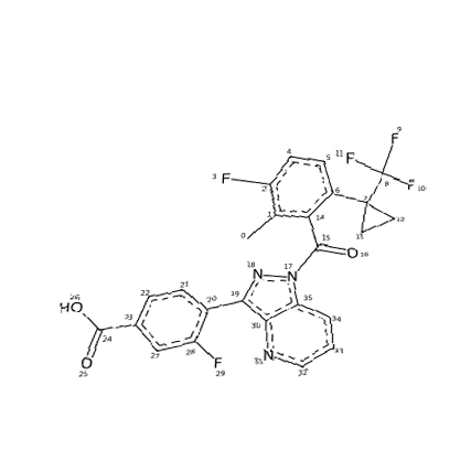 Cc1c(F)ccc(C2(C(F)(F)F)CC2)c1C(=O)n1nc(-c2ccc(C(=O)O)cc2F)c2ncccc21